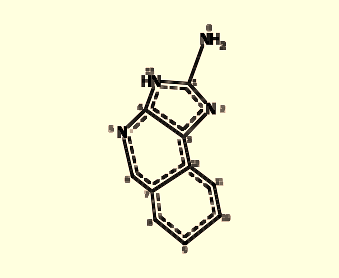 Nc1nc2c(ncc3ccccc32)[nH]1